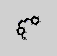 Cc1ccc(/C=C\C=C\c2ccccc2)cc1